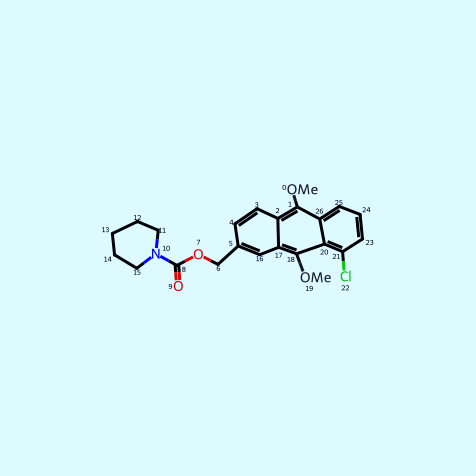 COc1c2ccc(COC(=O)N3CCCCC3)cc2c(OC)c2c(Cl)cccc12